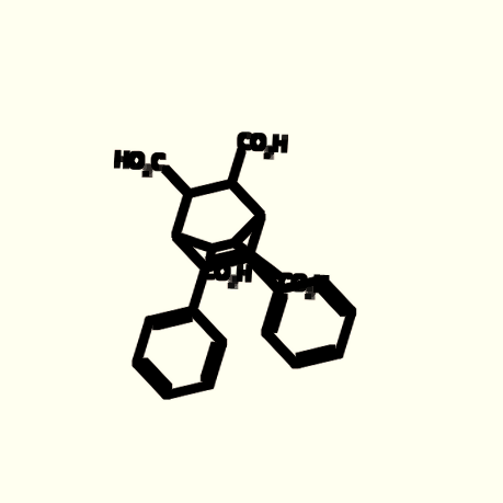 O=C(O)C1C(C(=O)O)C2C(c3ccccc3)=C(c3ccccc3)C1C(C(=O)O)C2C(=O)O